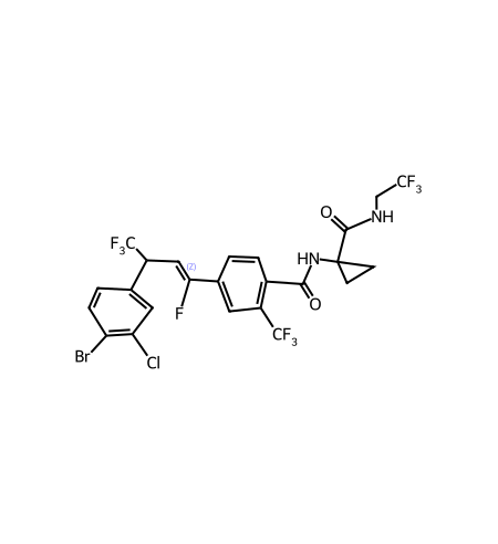 O=C(NC1(C(=O)NCC(F)(F)F)CC1)c1ccc(/C(F)=C/C(c2ccc(Br)c(Cl)c2)C(F)(F)F)cc1C(F)(F)F